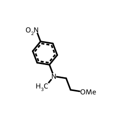 COCCN(C)c1ccc([N+](=O)[O-])cc1